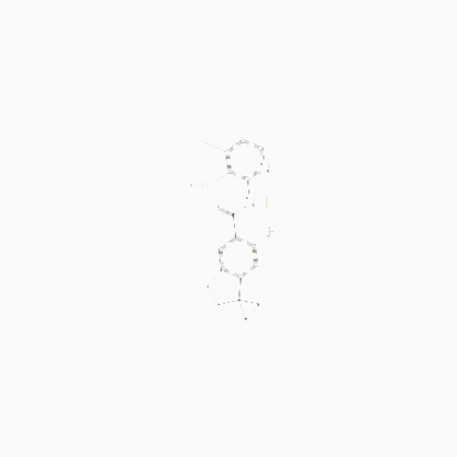 O=Cc1c(Cl)ccnc1NC(=O)c1cc2c(cc1F)C1(CC2)CC1